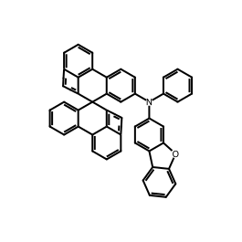 c1ccc(N(c2ccc3c(c2)C2(c4ccccc4-c4cccc5cccc2c45)c2cccc4cccc-3c24)c2ccc3c(c2)oc2ccccc23)cc1